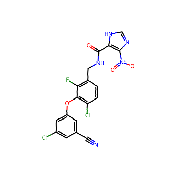 N#Cc1cc(Cl)cc(Oc2c(Cl)ccc(CNC(=O)c3[nH]cnc3[N+](=O)[O-])c2F)c1